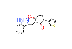 O=C1C=CC(c2ccsc2)C(=O)C1Cc1n[nH]c2ccccc12